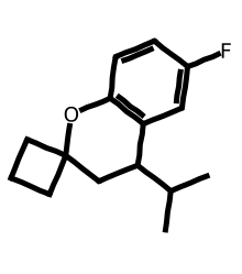 CC(C)C1CC2(CCC2)Oc2ccc(F)cc21